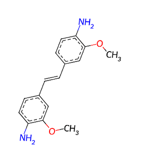 COc1cc(/C=C/c2ccc(N)c(OC)c2)ccc1N